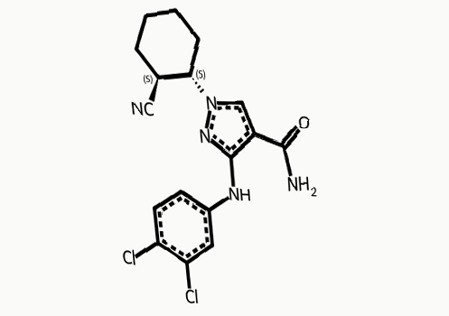 N#C[C@H]1CCCC[C@@H]1n1cc(C(N)=O)c(Nc2ccc(Cl)c(Cl)c2)n1